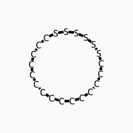 C1CCCCCCCSSSSSSCCCCCCC1